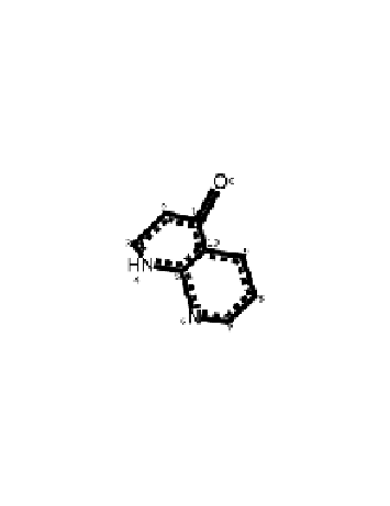 O=c1c[c][nH]c2ncccc12